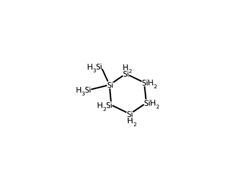 [SiH3][Si]1([SiH3])[SiH2][SiH2][SiH2][SiH2][SiH2]1